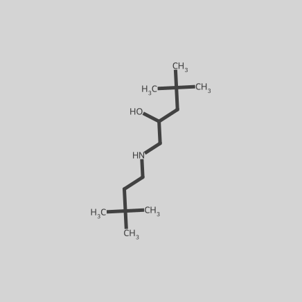 CC(C)(C)CCNCC(O)CC(C)(C)C